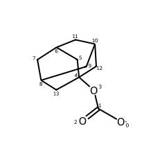 [O]C(=O)OC12CC3CC(CC(C3)C1)C2